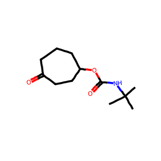 CC(C)(C)NC(=O)OC1CCCC(=O)CC1